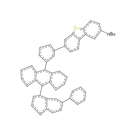 CCCCc1ccc2sc3cc(-c4cccc(-c5c6ccccc6c(-c6cccc7ccc(-c8ccccc8)cc67)c6ccccc56)c4)ccc3c2c1